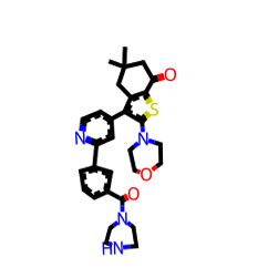 CC1(C)CC(=O)c2sc(N3CCOCC3)c(-c3ccnc(-c4cccc(C(=O)N5CCNCC5)c4)c3)c2C1